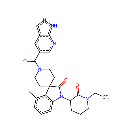 Cc1cccc2c1C1(CCN(C(=O)c3cnc4[nH]ncc4c3)CC1)C(=O)N2C1CCCN(CC(F)(F)F)C1=O